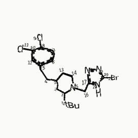 CC(C)(C)C1CC(Cc2ccc(Cl)c(Cl)c2)CCN1Cc1nnc(Br)[nH]1